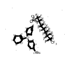 CC(C)(C)c1ccc([S+](c2ccccc2)c2ccccc2)cc1.O=S(=O)([O-])C(F)(F)C(F)(F)C(F)(F)C(F)(F)C(F)(F)C(F)(F)C(F)(F)C(F)(F)F